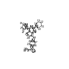 Cc1cc(C)n(-c2nc(N3CCCCC3)nc3c(CN4CCN(C(=O)C(C)C)CC4)csc23)n1